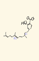 COC(=O)c1ccc(C/C=C(\C)CC/C=C(\C)CCC=C(C)C)cc1O